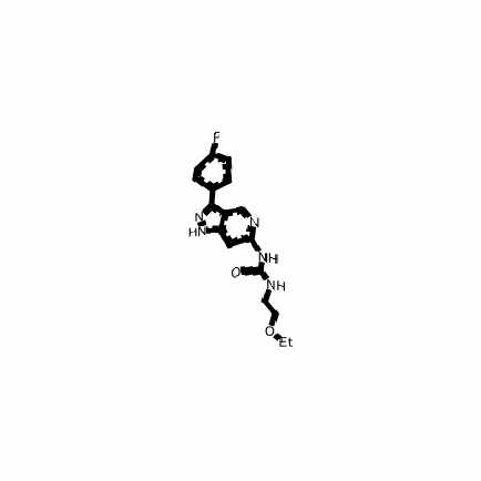 CCOCCNC(=O)Nc1cc2[nH]nc(-c3ccc(F)cc3)c2cn1